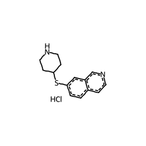 Cl.c1cc2ccc(SC3CCNCC3)cc2cn1